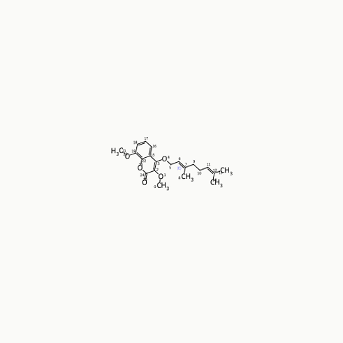 COc1c(OC/C=C(\C)CCC=C(C)C)c2cccc(OC)c2oc1=O